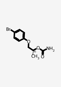 C[C@H](COc1ccc(Br)cc1)OC(N)=O